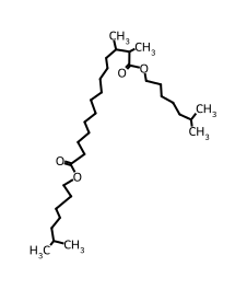 CC(C)CCCCCOC(=O)CCCCCCCCCCC(C)C(C)C(=O)OCCCCCC(C)C